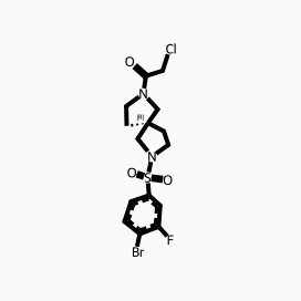 O=C(CCl)N1CC[C@@]2(CCN(S(=O)(=O)c3ccc(Br)c(F)c3)C2)C1